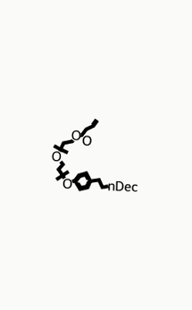 C=CCC(=O)OCCC(C)(C)OCCC(C)(C)Oc1ccc(CCCCCCCCCCCC)cc1